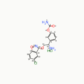 Cl.NC(=O)Oc1cccc(C(N)COc2noc3ccc(Cl)cc23)c1